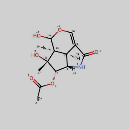 CC(C)C(=O)O[C@H]1[C@H]2NC(=O)C3=COC(O)[C@@H]([C@@H]32)[C@@]1(C)O